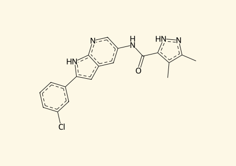 Cc1n[nH]c(C(=O)Nc2cnc3[nH]c(-c4cccc(Cl)c4)cc3c2)c1C